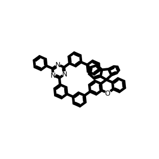 c1ccc(-c2cccc(-c3nc(-c4ccccc4)nc(-c4cccc(-c5cccc(-c6ccc7c(c6)Oc6ccccc6C76c7ccccc7-c7ccccc76)c5)c4)n3)c2)cc1